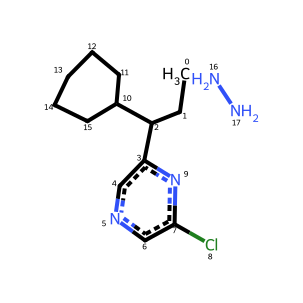 CCC(c1cncc(Cl)n1)C1CCCCC1.NN